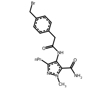 CCCc1nn(C)c(C(N)=O)c1NC(=O)Cc1ccc(CBr)cc1